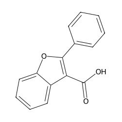 O=C(O)c1c(-c2ccccc2)oc2ccccc12